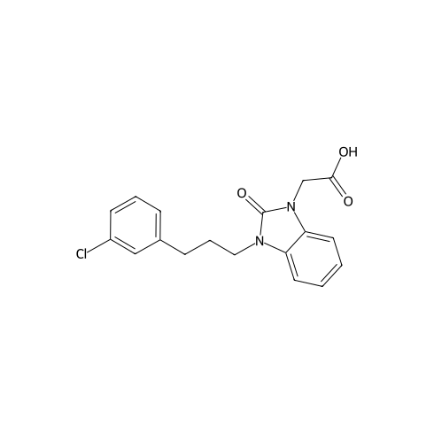 O=C(O)Cn1c(=O)n(CCCc2cccc(Cl)c2)c2ccccc21